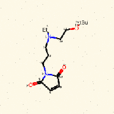 CCN(CCCN1C(=O)C=CC1=O)CCOC(C)(C)C